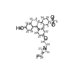 CS(=O)(=O)c1ccc([C@@H]2CCc3cc(O)ccc3[C@@H]2c2ccc(OCCN3CC(CF)C3)cc2)cc1